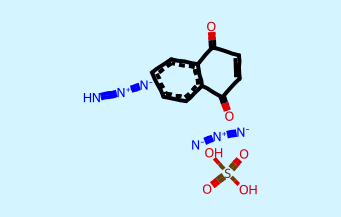 O=C1C=CC(=O)c2ccccc21.O=S(=O)(O)O.[N-]=[N+]=N.[N-]=[N+]=[N-]